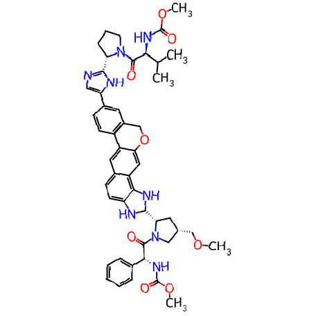 COC[C@H]1C[C@@H](C2Nc3ccc4cc5c(cc4c3N2)OCc2cc(-c3cnc([C@@H]4CCCN4C(=O)[C@@H](NC(=O)OC)C(C)C)[nH]3)ccc2-5)N(C(=O)[C@H](NC(=O)OC)c2ccccc2)C1